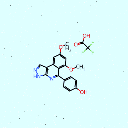 COc1cc(OC)c2c(-c3ccc(O)cc3)nc3[nH]ncc3c2c1.O=C(O)C(F)(F)F